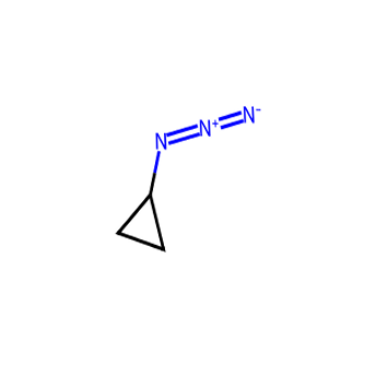 [N-]=[N+]=NC1CC1